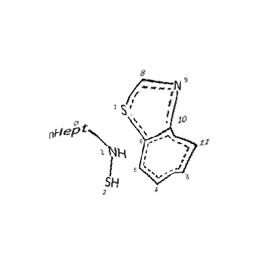 CCCCCCCNS.c1ccc2scnc2c1